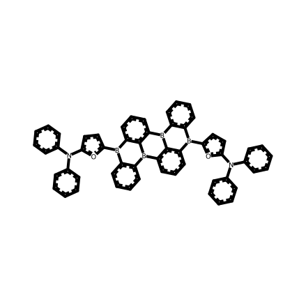 c1ccc(N(c2ccccc2)c2ccc(B3c4ccccc4B4c5cccc6c5B(c5ccccc5B6c5ccc(N(c6ccccc6)c6ccccc6)o5)c5cccc3c54)o2)cc1